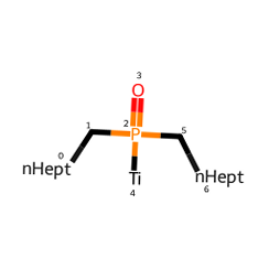 CCCCCCCC[P](=O)([Ti])CCCCCCCC